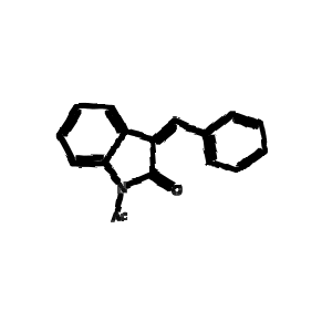 CC(=O)N1C(=O)C(=Cc2ccccc2)c2ccccc21